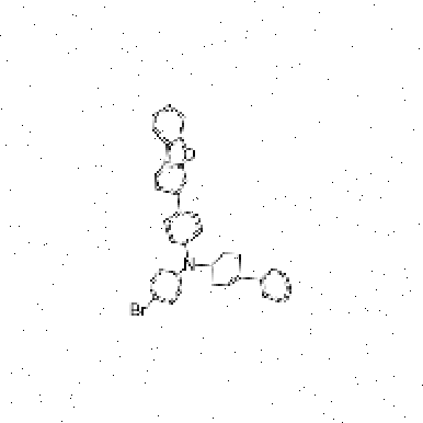 Brc1ccc(N(C2=CC=C(c3ccccc3)CC2)c2ccc(-c3ccc4c(c3)oc3ccccc34)cc2)cc1